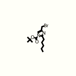 CCCCCc1nc(CBr)cn1C(=O)OC(C)(C)C